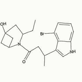 CCC1CC2(O)CC(C2)N1C(=O)CC(C)c1c[nH]c2cccc(Br)c12